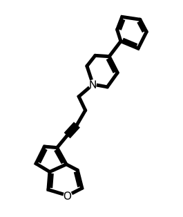 C(#Cc1ccc2coccc1-2)CCN1CC=C(c2ccccc2)CC1